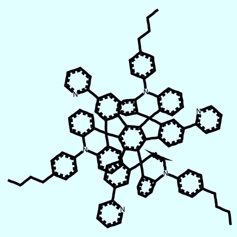 CCCCc1ccc(N2c3ccccc3C3(c4cc(-c5ccccn5)ccc4-c4c3c3c(c5c4C4(c6cc(-c7ccccn7)ccc6-5)c5ccccc5N(c5ccc(CCCC)cc5)c5ccccc54)C4(c5cc(-c6ccccn6)ccc5-3)c3ccccc3N(c3ccc(CCCC)cc3)c3ccccc34)c3ccccc32)cc1